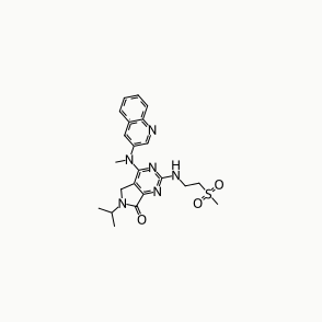 CC(C)N1Cc2c(nc(NCCS(C)(=O)=O)nc2N(C)c2cnc3ccccc3c2)C1=O